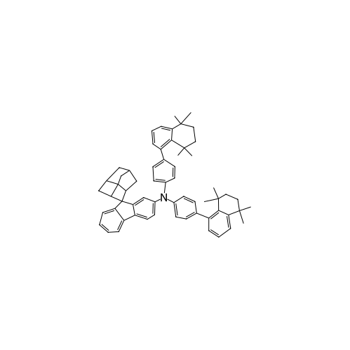 CC1(C)CCC(C)(C)c2c(-c3ccc(N(c4ccc(-c5cccc6c5C(C)(C)CCC6(C)C)cc4)c4ccc5c(c4)C4(c6ccccc6-5)C5CC6CC7CC4C75C6)cc3)cccc21